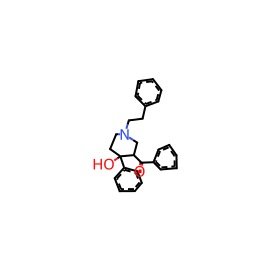 O=C(c1ccccc1)C1CN(CCc2ccccc2)CCC1(O)c1ccccc1